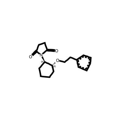 O=C1CCC(=O)N1[C@@H]1CCCC[C@H]1OCCc1ccccc1